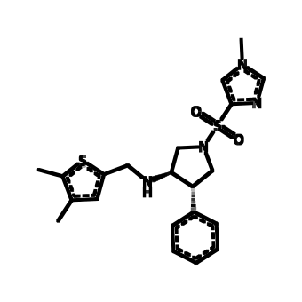 Cc1cc(CN[C@H]2CN(S(=O)(=O)c3cn(C)cn3)C[C@@H]2c2ccccc2)sc1C